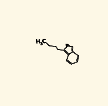 CCCCC1=c2ccccc2=C[P]1